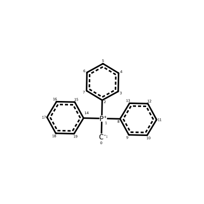 [C-][P+](c1ccccc1)(c1ccccc1)c1ccccc1